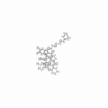 C[C@@H](C(=O)N[C@H](C(=O)N1CCN(C(=O)c2c(OCCOCCOCc3ccccc3)c3cc(F)c(F)cc3n2C)CC1)C1CCCCC1)N(C)C(=O)OC(C)(C)C